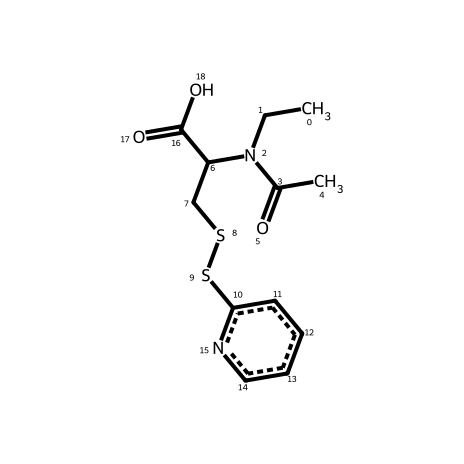 CCN(C(C)=O)C(CSSc1ccccn1)C(=O)O